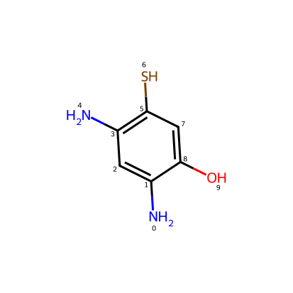 Nc1cc(N)c(S)cc1O